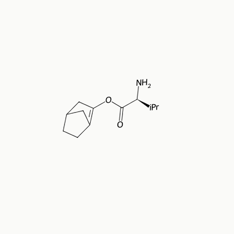 CC(C)[C@H](N)C(=O)OC1=C2CCC(C2)C1